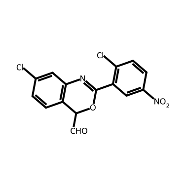 O=CC1OC(c2cc([N+](=O)[O-])ccc2Cl)=Nc2cc(Cl)ccc21